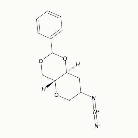 [N-]=[N+]=NC1CO[C@@H]2COC(c3ccccc3)O[C@H]2C1